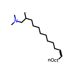 [CH2]C(CCCCCCCC/C=C\CCCCCCCC)CN(C)C